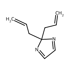 C=CCC1(CC=C)N=CC=N1